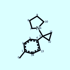 Cc1ccc(C2(N3CCCC3)CC2)cc1